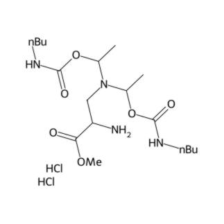 CCCCNC(=O)OC(C)N(CC(N)C(=O)OC)C(C)OC(=O)NCCCC.Cl.Cl